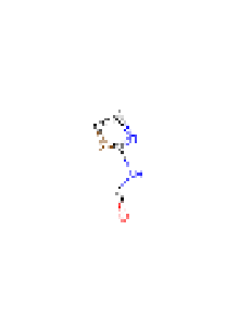 O=CNc1n[c]cs1